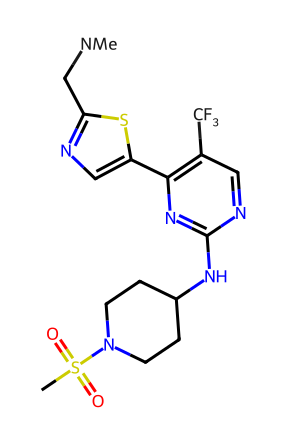 CNCc1ncc(-c2nc(NC3CCN(S(C)(=O)=O)CC3)ncc2C(F)(F)F)s1